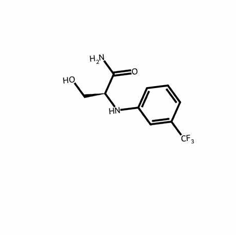 NC(=O)[C@H](CO)Nc1cccc(C(F)(F)F)c1